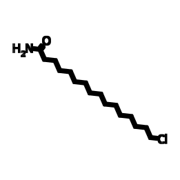 NC(=O)CCCCCCCCCCCCCCCCl